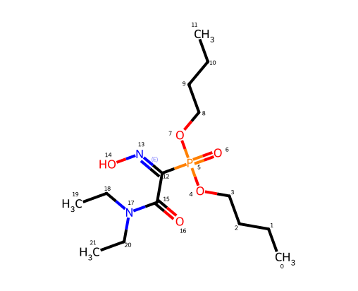 CCCCOP(=O)(OCCCC)/C(=N/O)C(=O)N(CC)CC